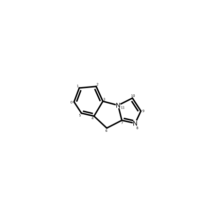 c1ccc2c(c1)Cc1nccn1-2